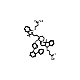 CC1(C)C(/C=C/C2=C(Oc3ccc(-c4ccccc4-c4ccccc4)cc3)C(=C/C=C3/N(CCCC(=O)O)c4ccccc4C3(C)C)/CCC2)=[N+](CCCC(=O)O)c2ccccc21